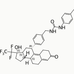 Cc1ccc(NC(=O)NCc2ccc([C@H]3C[C@@]4(C)[C@@H](CC[C@@]4(O)C(F)(F)C(F)(F)F)[C@@H]4CCC5=CC(=O)CCC5=C43)cc2)cc1